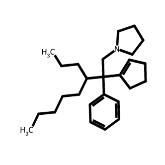 CCCCCC(CCC)C(CN1CCCC1)(C1=CCCC1)c1ccccc1